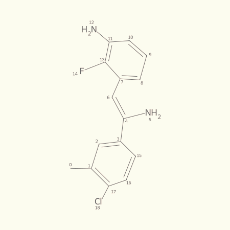 Cc1cc(/C(N)=C/c2cccc(N)c2F)ccc1Cl